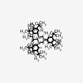 CCC(=O)C1N(c2cc(C(C)(C)C)c(O)c(C(C)(C)C)c2)CN(c2cc(C(C)(C)C)c(O)c(C(C)(C)C)c2)CN1c1cc(C(C)(C)C)c(O)c(C(C)(C)C)c1.[H+]